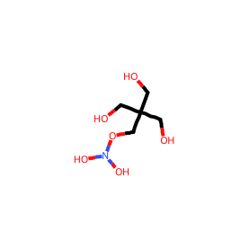 OCC(CO)(CO)CON(O)O